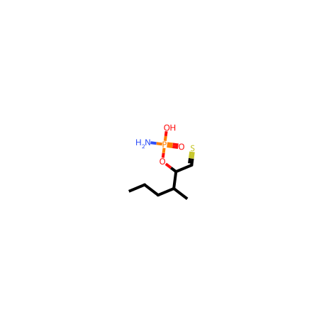 CCCC(C)C(C=S)OP(N)(=O)O